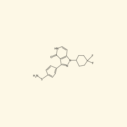 NSc1ccc(-c2nn(C3CCC(F)(F)CC3)c3cc[nH]c(=O)c23)cc1